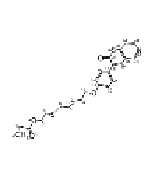 CCC(=O)OCCSCCSCCOc1ccc(-c2cc3cnccc3sc2=O)cc1